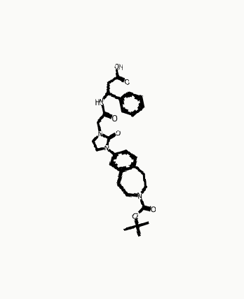 CC(C)(C)OC(=O)N1CCc2ccc(N3CCN(CC(=O)NC(CC(=O)O)c4ccccc4)C3=O)cc2CC1